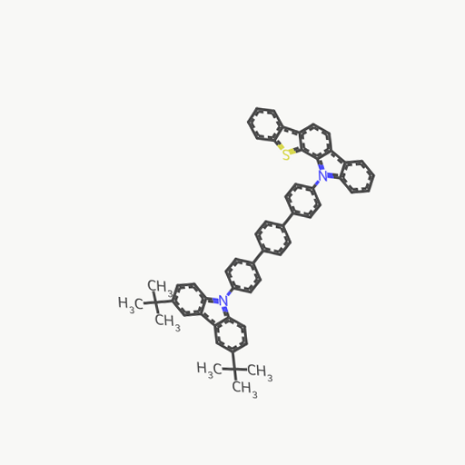 CC(C)(C)c1ccc2c(c1)c1cc(C(C)(C)C)ccc1n2-c1ccc(-c2ccc(-c3ccc(-n4c5ccccc5c5ccc6c7ccccc7sc6c54)cc3)cc2)cc1